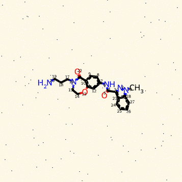 Cn1nc(C(=O)Nc2ccc3c(c2)OCCN(CCCN)C3=O)c2ccccc21